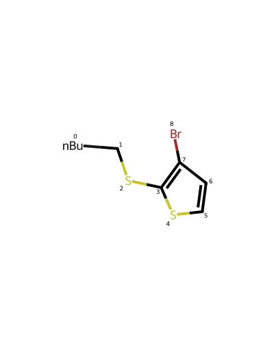 CCCCCSc1sccc1Br